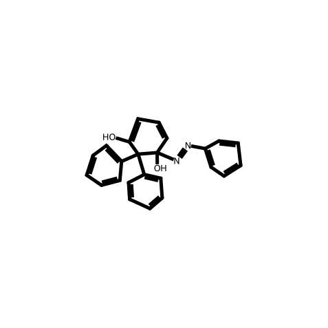 OC1=CC=CC(O)(/N=N/c2ccccc2)C1(c1ccccc1)c1ccccc1